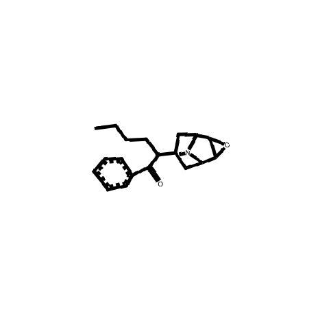 CCCCC(C(=O)c1ccccc1)C1CC2C3OC3C(C1)N2C